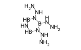 NNB1N(NN)BNBN1NN